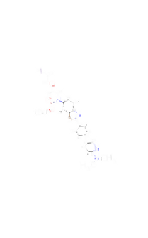 CN(C)c1ccc(-c2ccc(-c3nc4ccc(N(CCOCCI)C(=O)OC(C)(C)C)cc4s3)cc2)cn1